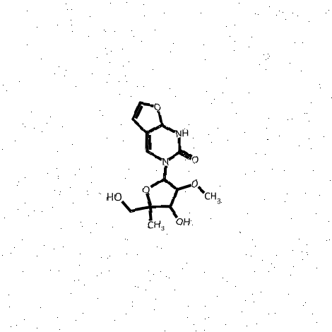 COC1C(N2C=C3C=COC3NC2=O)OC(C)(CO)C1O